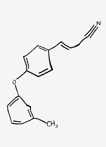 Cc1cccc(Oc2ccc(C=CC#N)cc2)c1